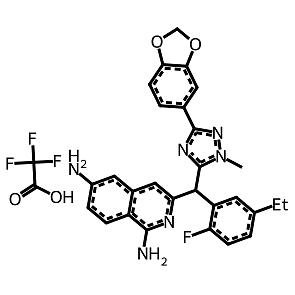 CCc1ccc(F)c(C(c2cc3cc(N)ccc3c(N)n2)c2nc(-c3ccc4c(c3)OCO4)nn2C)c1.O=C(O)C(F)(F)F